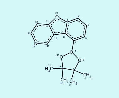 CC1(C)OB(c2cccc3oc4ccncc4c23)OC1(C)C